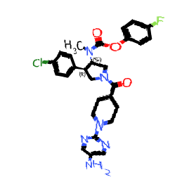 CN(C(=O)Oc1ccc(F)cc1)[C@@H]1CN(C(=O)C2CCN(c3ncc(N)cn3)CC2)C[C@H]1c1ccc(Cl)cc1